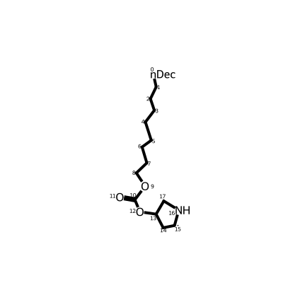 CCCCCCCCCCCCCCCCCCOC(=O)OC1C[CH]NC1